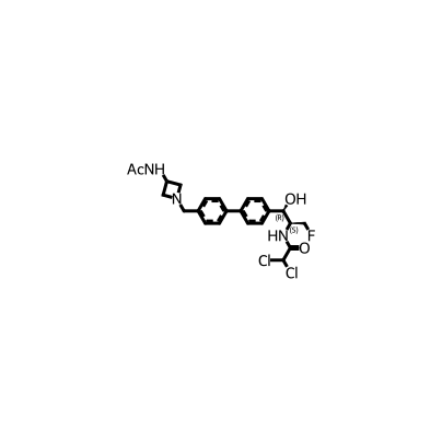 CC(=O)NC1CN(Cc2ccc(-c3ccc([C@@H](O)[C@@H](CF)NC(=O)C(Cl)Cl)cc3)cc2)C1